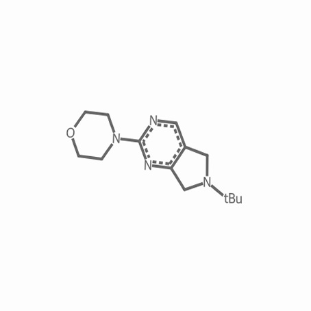 CC(C)(C)N1Cc2cnc(N3CCOCC3)nc2C1